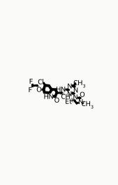 CC[C@H]1CN(C)C(=O)N1c1nc(C)nc(N[C@@H](C)c2cc3cc(Cl)c(OCC(F)F)cc3[nH]c2=O)n1